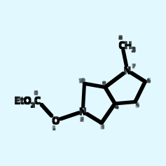 CCOC(=O)ON1CC2CCN(C)C2C1